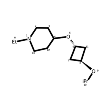 CCN1CCC(O[C@H]2C[C@H](OC(C)C)C2)CC1